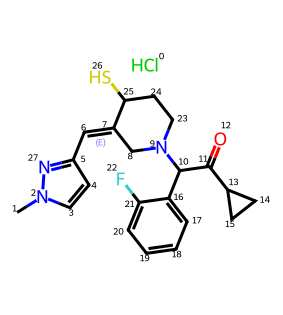 Cl.Cn1ccc(/C=C2\CN(C(C(=O)C3CC3)c3ccccc3F)CCC2S)n1